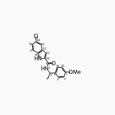 COc1ccc(C(C)NC(=O)c2cc3cc(Cl)ccc3[nH]2)cc1